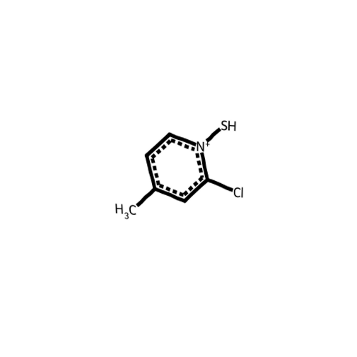 Cc1cc[n+](S)c(Cl)c1